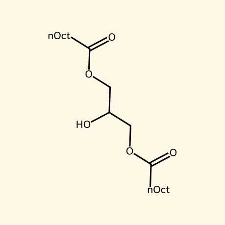 CCCCCCCCC(=O)OCC(O)COC(=O)CCCCCCCC